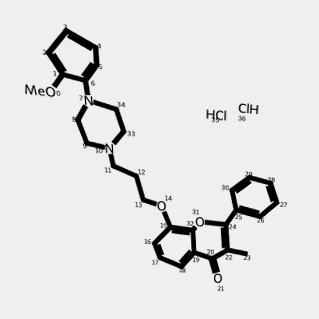 COc1ccccc1N1CCN(CCCOc2cccc3c(=O)c(C)c(-c4ccccc4)oc23)CC1.Cl.Cl